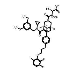 COc1cc(CN(C(=O)C2=C(c3ccc(CCCOc4c(F)ccc(F)c4F)cc3)C[C@@H]3CN(C(=O)[C@H](O)C(O)C(=O)O)C[C@H]2N3)C2CC2)cc(OC)c1